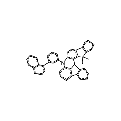 CC1(C)c2ccccc2-c2ccc3c(c21)C1(C)c2ccccc2-c2cccc(c21)N3c1cccc(-c2cccc3ccccc23)c1